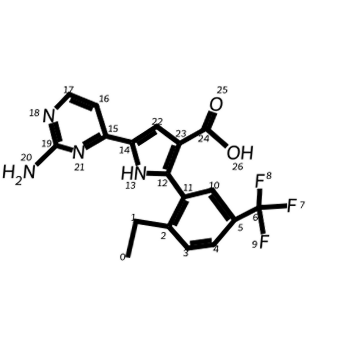 CCc1ccc(C(F)(F)F)cc1-c1[nH]c(-c2ccnc(N)n2)cc1C(=O)O